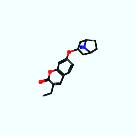 CCc1cc2ccc(OC3CC4CCC(C3)N4)cc2oc1=O